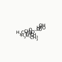 CCC(C)C(C)(CC(C)(C)CC)C(=O)OCCOO[PH](=O)O